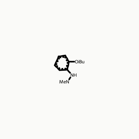 CNNc1ccccc1OCC(C)C